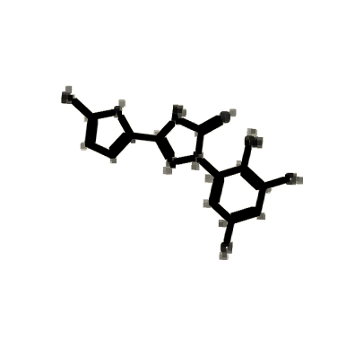 O=c1[nH]c(-c2ccc(Br)s2)nn1-c1cc(Cl)cc(Cl)c1O